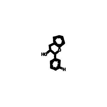 [2H]c1cccc(C2Oc3ccccc3CC2O)c1